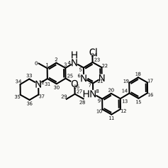 Cc1cc(Nc2nc(Nc3cccc(-c4ccccc4)c3)ncc2Cl)c(OC(C)C)cc1N1CCCCC1